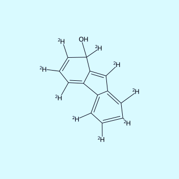 [2H]C1=C2C(=C([2H])c3c([2H])c([2H])c([2H])c([2H])c32)C([2H])(O)C([2H])=C1[2H]